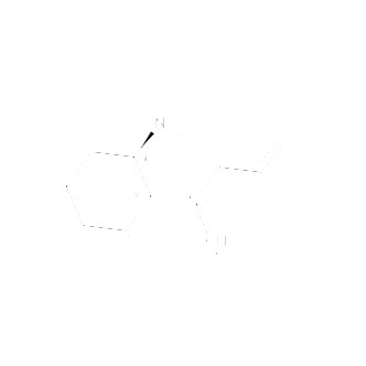 C=CCN(C)[C@@H]1CCCC[C@H]1N